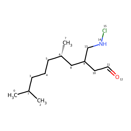 CC(C)CCC[C@H](C)CC(CC=O)CNCl